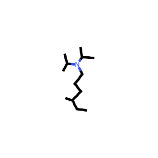 CCC(C)CCCN(C(C)C)C(C)C